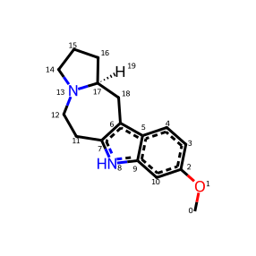 COc1ccc2c3c([nH]c2c1)CCN1CCC[C@H]1C3